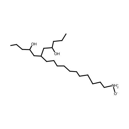 CCCC(O)CC(CCCCCCCCCCC[NH2+][O-])CC(O)CCC